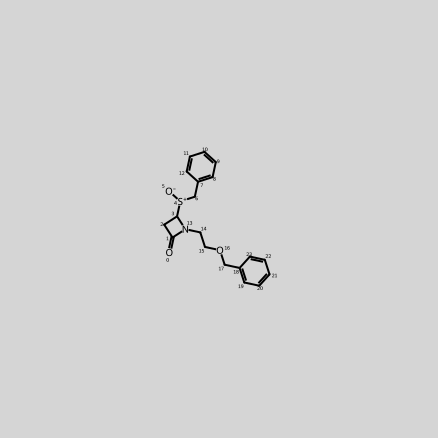 O=C1CC([S+]([O-])Cc2ccccc2)N1CCOCc1ccccc1